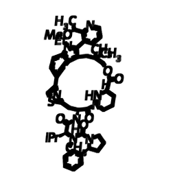 CCn1c(-c2cccnc2[C@H](C)OC)c2c3cc(ccc31)-c1csc(n1)C[C@H](NC(=O)[C@H](C(C)C)N(C)C(=O)N1CCC[C@H]1c1ccccc1)C(=O)N1CCC[C@H](N1)C(=O)OCC(C)(C)C2